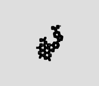 CC(=O)OCC1O[C@H](Oc2ccc(-n3ccc4cc([N+](=O)[O-])ccc43)cc2Cl)[C@H](OC(C)=O)C(OC(C)=O)[C@@H]1OC(C)=O